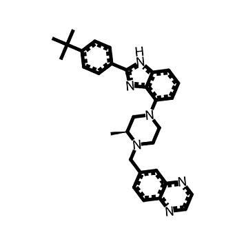 C[C@H]1CN(c2cccc3[nH]c(-c4ccc(C(C)(C)C)cc4)nc23)CCN1Cc1ccc2nccnc2c1